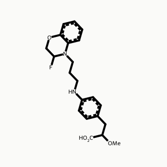 COC(Cc1ccc(NCCCN2c3ccccc3OCC2F)cc1)C(=O)O